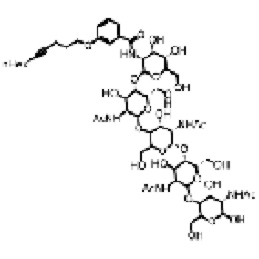 CCCCCCC#CCCCOc1cccc(C(=O)N[C@@H]2C(O[C@H]3C(O)C(NC(C)=O)[C@H](OC4C(CO)O[C@@H](O[C@H]5C(O)C(NC(C)=O)C(OC6C(CO)OC(O)[C@@H](NC(C)=O)[C@H]6O)O[C@H]5CO)[C@@H](NC(C)=O)[C@H]4O)O[C@H]3CO)OC(CO)[C@@H](O)[C@@H]2O)c1